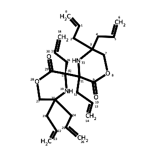 C=CCC1(CC=C)COC(=O)C(CC=C)([C@]2(CC=C)NC(CC=C)(CC=C)COC2=O)N1